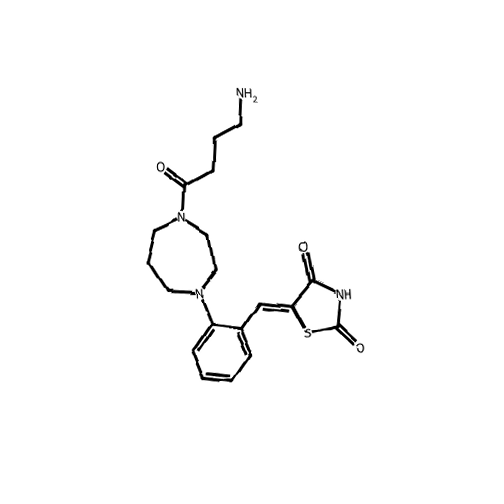 NCCCC(=O)N1CCCN(c2ccccc2/C=C2\SC(=O)NC2=O)CC1